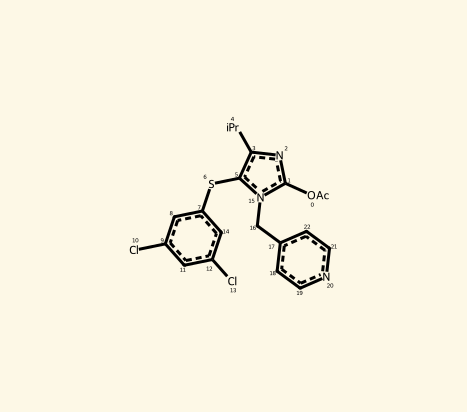 CC(=O)Oc1nc(C(C)C)c(Sc2cc(Cl)cc(Cl)c2)n1Cc1ccncc1